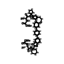 COC(=O)N[C@H](C(=O)NC1(c2nc3c([nH]2)-c2ccc(-c4ccc(-c5ccc6nc(C7(NC(=O)[C@@H](NC(=O)OC)C(C)C)CCCCC7)[nH]c6c5)cc4)cc2OCC3)CCCC1)C(C)C